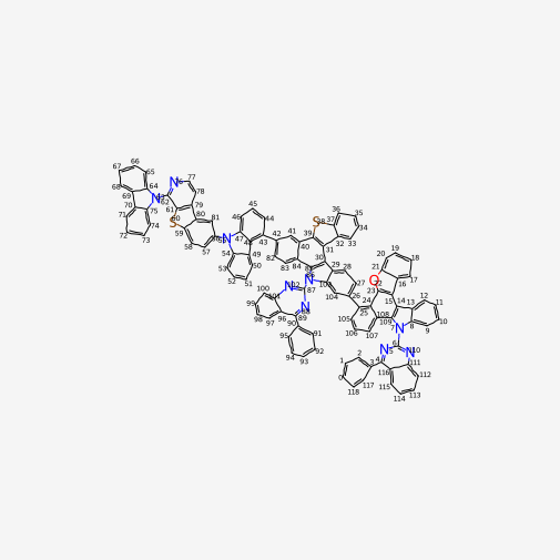 c1ccc(-c2nc(-n3c4ccccc4c4c5c6ccccc6oc5c5c(-c6ccc7c8c9c%10ccccc%10sc9c9cc(-c%10cccc%11c%10c%10ccccc%10n%11-c%10ccc%11sc%12c(-n%13c%14ccccc%14c%14ccccc%14%13)nccc%12c%11c%10)ccc9c8n(-c8nc(-c9ccccc9)c9ccccc9n8)c7c6)cccc5c43)nc3ccccc23)cc1